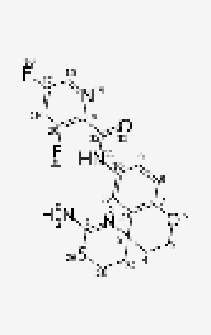 NC1=NC2(CCOc3ccc(NC(=O)c4ncc(F)cc4F)cc32)CCS1